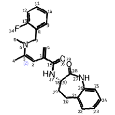 C=C(/C=C(/C)N(C)Cc1ccccc1F)C(=O)N[C@H]1CCc2ccccc2NC1=O